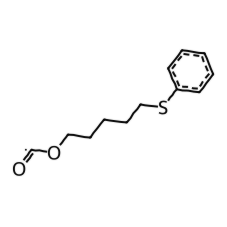 O=[C]OCCCCCSc1ccccc1